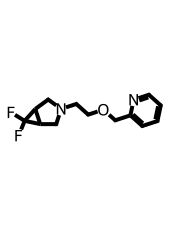 FC1(F)C2CN(CCOCc3ccccn3)CC21